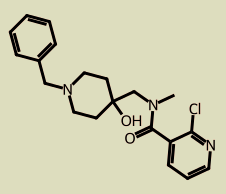 CN(CC1(O)CCN(Cc2ccccc2)CC1)C(=O)c1cccnc1Cl